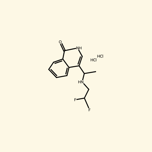 CC(NCC(F)F)c1c[nH]c(=O)c2ccccc12.Cl.Cl